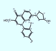 O=C(O)c1cn(-c2ccc(F)cc2F)c2nc(N3CCC(O)C3)ccc2c1=O